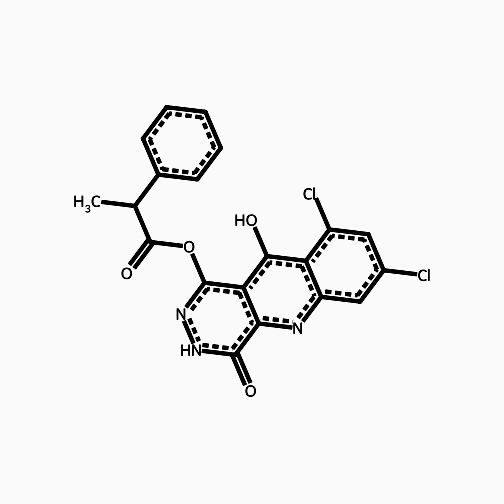 CC(C(=O)Oc1n[nH]c(=O)c2nc3cc(Cl)cc(Cl)c3c(O)c12)c1ccccc1